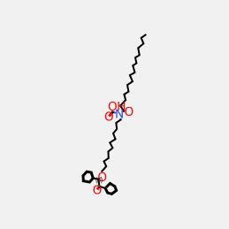 CCCCCCCCCCCCCCCCC(=O)N(CCCCCCCCCCCCO[C@H](C(=O)c1ccccc1)c1ccccc1)C(=O)O